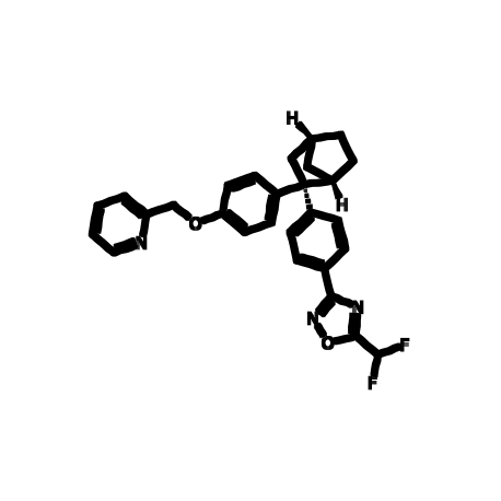 FC(F)c1nc(-c2ccc([C@]3(c4ccc(OCc5ccccn5)cc4)C[C@@H]4CC[C@H]3C4)cc2)no1